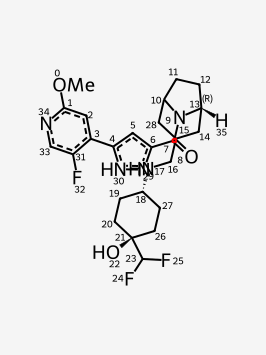 COc1cc(-c2cc(C(=O)N3C4CC[C@@H]3CC(CN[C@H]3CC[C@@](O)(C(F)F)CC3)C4)n[nH]2)c(F)cn1